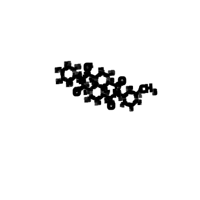 Cc1cccc(N2C(=O)c3ccc4c5c(ccc(c35)C2=O)C(=O)N(c2ccccc2)C4=O)c1